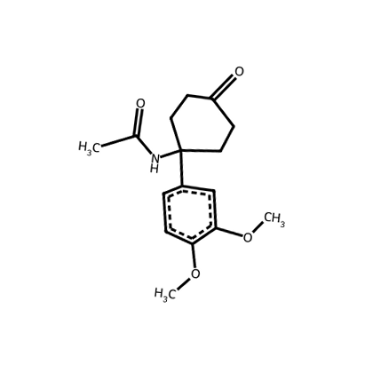 COc1ccc(C2(NC(C)=O)CCC(=O)CC2)cc1OC